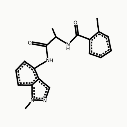 Cc1ccccc1C(=O)NC(C)C(=O)Nc1cccc2c1cnn2C